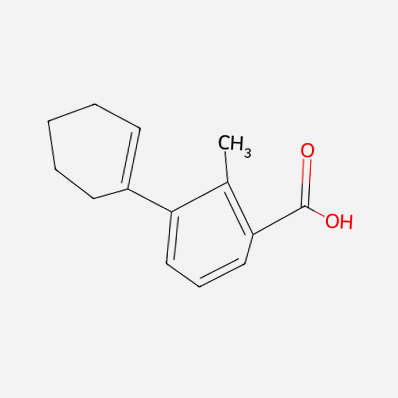 Cc1c(C(=O)O)cccc1C1=CCCCC1